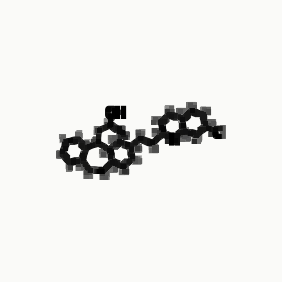 OC(=S)CC1c2ccccc2C=Cc2ccc(C=Cc3ccc4ccc(Cl)cc4n3)cc21